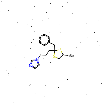 CCCCC1CSC(CCCn2ccnc2)(Cc2ccccc2)S1